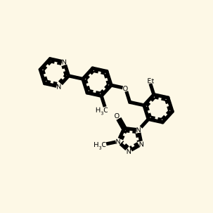 CCc1cccc(-n2nnn(C)c2=O)c1COc1ccc(-c2ncccn2)cc1C